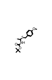 [CH2]C(NC(=O)OC(C)(C)C)SCc1ccc(OC)cc1